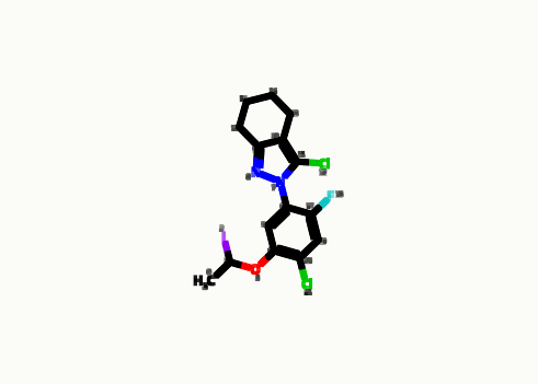 CC(I)Oc1cc(-n2nc3c(c2Cl)CCCC3)c(F)cc1Cl